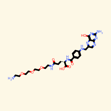 NCCOCCOCCOCCNC(=O)CC[C@H](NC(=O)c1ccc(NCc2cnc3nc(N)nc(O)c3n2)cc1)C(=O)O